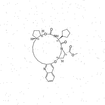 COC(=O)[C@@H]1C[C@@H]2CN1C(=O)[C@H](C1CCCC1)NC(=O)O[C@@H]1CCC[C@H]1CCCCCCc1nc3ccccc3cc1O2